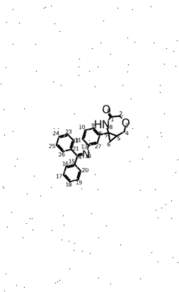 O=C1COCC2CC2(c2cccc(N=C(c3ccccc3)c3ccccc3)c2)N1